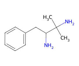 CC(C)(N)C(N)Cc1ccccc1